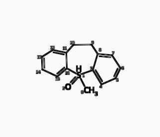 C[SH]1(=O)c2ccccc2CCc2ccccc21